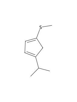 CSC1=CC=C(C(C)C)C1